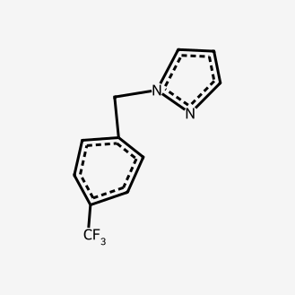 FC(F)(F)c1ccc(Cn2cccn2)cc1